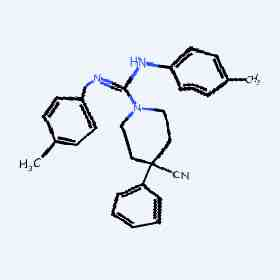 Cc1ccc(N=C(Nc2ccc(C)cc2)N2CCC(C#N)(c3ccccc3)CC2)cc1